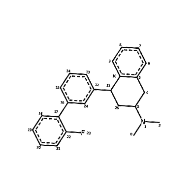 CN(C)C1Cc2ccccc2C(c2cccc(-c3ccccc3F)c2)C1